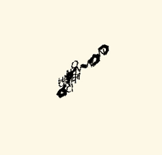 O=C(Nc1[nH]nc(C(=O)NCCN2CCC(N3CCCCC3)CC2)c1Br)c1ccccc1Cl